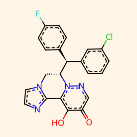 O=c1cnn2c(c1O)-c1nccn1C[C@@H]2[C@@H](c1ccc(F)cc1)c1cccc(Cl)c1